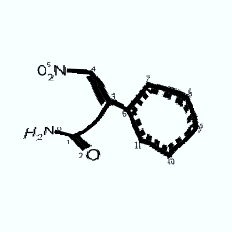 NC(=O)C(=C[N+](=O)[O-])c1ccccc1